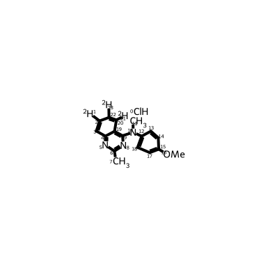 Cl.[2H]c1cc2nc(C)nc(N(C)c3ccc(OC)cc3)c2c([2H])c1[2H]